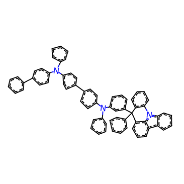 c1ccc(-c2ccc(N(c3ccccc3)c3ccc(-c4ccc(N(c5ccccc5)c5cccc(C6(c7ccccc7)c7ccccc7-n7c8ccccc8c8cccc6c87)c5)cc4)cc3)cc2)cc1